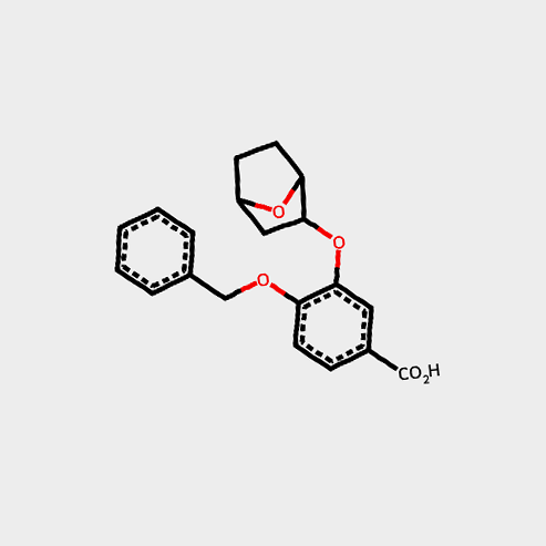 O=C(O)c1ccc(OCc2ccccc2)c(OC2CC3CCC2O3)c1